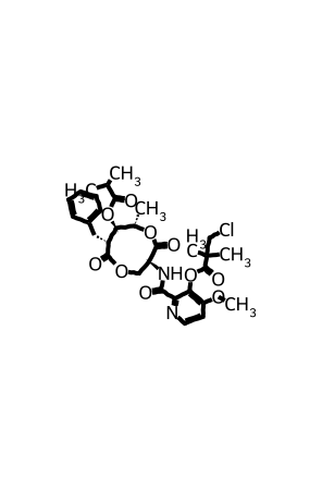 COc1ccnc(C(=O)N[C@H]2COC(=O)[C@H](Cc3ccccc3)[C@@H](OC(=O)C(C)C)[C@H](C)OC2=O)c1OC(=O)C(C)(C)CCl